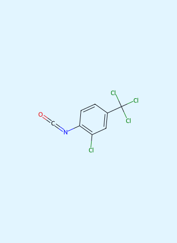 O=C=Nc1ccc(C(Cl)(Cl)Cl)cc1Cl